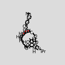 C/C1=C/C=C/[C@H](C)[C@H](O)[C@@H](C)[C@@H](O)[C@@H](C)[C@H](OC(=O)CC(=O)N2CCC(N3CCn4ccnc4C3)CC2)[C@H](C)C/C=C/O[C@@]2(C)Oc3c(C)c(O)c4c(c3C2=O)C2=NC3(CCN(CC(C)C)CC3)NC2=C(NC1=O)C4=O